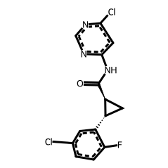 O=C(Nc1cc(Cl)ncn1)[C@H]1C[C@@H]1c1cc(Cl)ccc1F